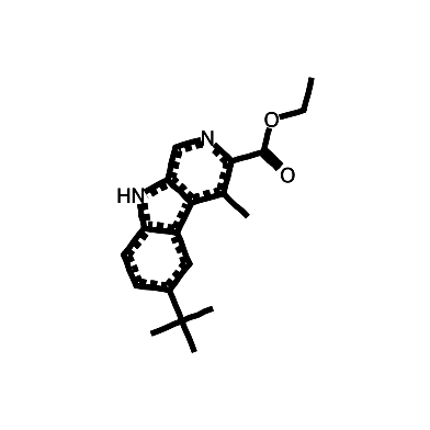 CCOC(=O)c1ncc2[nH]c3ccc(C(C)(C)C)cc3c2c1C